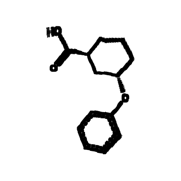 O=C(O)[C@H]1CCC[C@H](Oc2ccccc2)C1